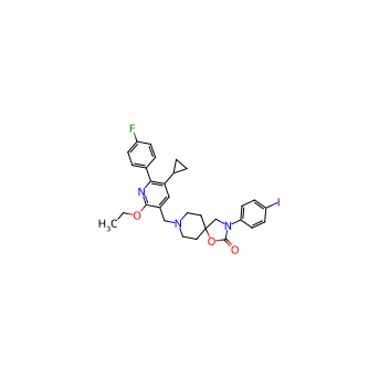 CCOc1nc(-c2ccc(F)cc2)c(C2CC2)cc1CN1CCC2(CC1)CN(c1ccc(I)cc1)C(=O)O2